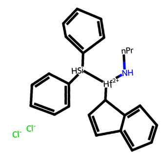 CCC[NH][Hf+2]([CH]1C=Cc2ccccc21)[SiH](c1ccccc1)c1ccccc1.[Cl-].[Cl-]